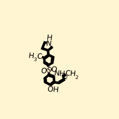 C=C/C=C\c1c(O)ccc(S(=O)(=O)c2ccc(C3CCNC3)c(C)c2)c1N